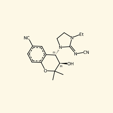 CCN1CCN([C@H]2c3cc(C#N)ccc3OC(C)(C)[C@@H]2O)C1=NC#N